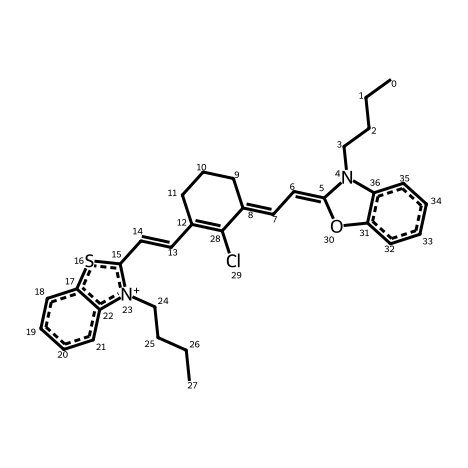 CCCCN1/C(=C/C=C2\CCCC(/C=C/c3sc4ccccc4[n+]3CCCC)=C2Cl)Oc2ccccc21